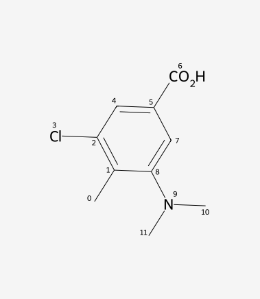 Cc1c(Cl)cc(C(=O)O)cc1N(C)C